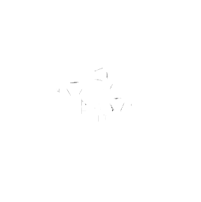 Cc1cc(C)cc(C2=Cc3ccccc3C23CCC(Nc2cccc(Br)c2)(C(=O)O)CC3)c1